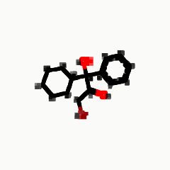 O=C(CBr)C(O)(c1ccccc1)C1CCCCC1